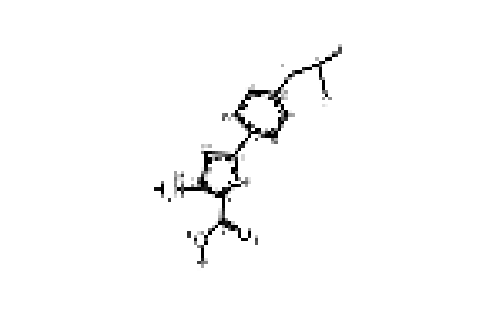 COC(=O)c1sc(-c2ccc(CC(C)C)cc2)cc1N